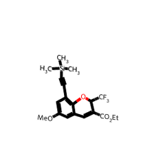 CCOC(=O)C1=Cc2cc(OC)cc(C#C[Si](C)(C)C)c2OC1C(F)(F)F